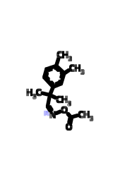 CC(=O)O/N=C\C(C)(C)c1ccc(C)c(C)c1